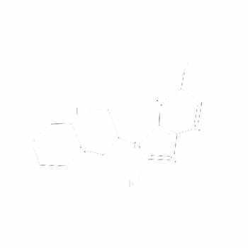 CCC(CN1CCOCC1)n1c(O)nc2ncc(Br)nc21